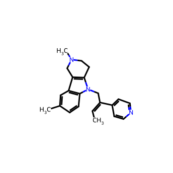 C/C=C(/Cn1c2c(c3cc(C)ccc31)CN(C)CC2)c1ccncc1